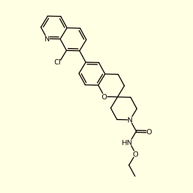 CCONC(=O)N1CCC2(CCc3cc(-c4ccc5cccnc5c4Cl)ccc3O2)CC1